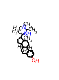 CC(N[C@@H](C)[C@@H]1CC[C@@H]2[C@H]3CCc4cc(O)ccc4[C@@H]3CC[C@]21C)N(C)C